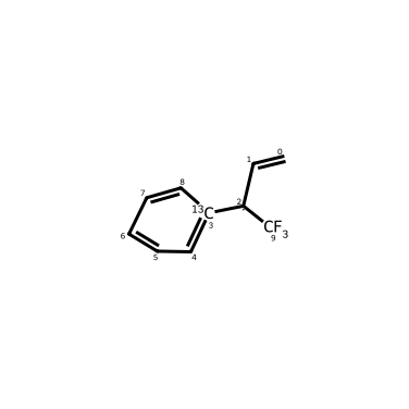 C=C[C]([13c]1ccccc1)C(F)(F)F